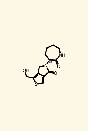 O=C1NCCCC[C@@H]1N1Cc2c(csc2CO)C1=O